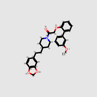 CCOc1cccc(-c2ccccc2OCC(=O)N2CCC(CCc3ccc4c(c3)OCO4)CC2)c1